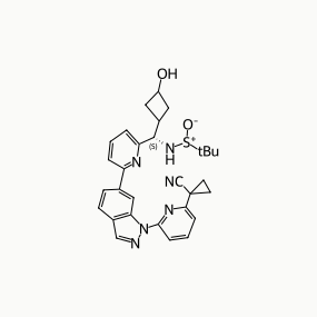 CC(C)(C)[S+]([O-])N[C@H](c1cccc(-c2ccc3cnn(-c4cccc(C5(C#N)CC5)n4)c3c2)n1)C1CC(O)C1